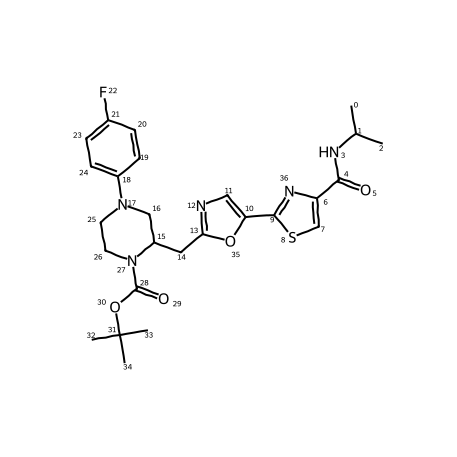 CC(C)NC(=O)c1csc(-c2cnc(CC3CN(c4ccc(F)cc4)CCN3C(=O)OC(C)(C)C)o2)n1